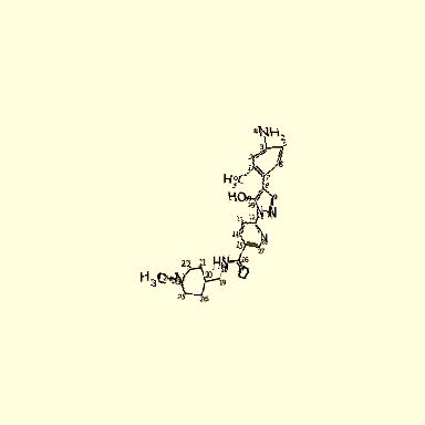 Cc1cc(N)ccc1-c1cnn(-c2ccc(C(=O)NCC3CCN(C)CC3)cn2)c1O